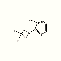 CC(C)c1cccnc1N1CC(F)(F)C1